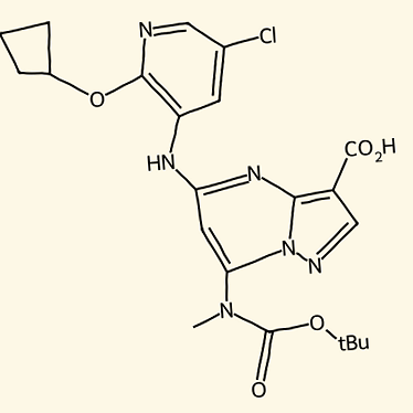 CN(C(=O)OC(C)(C)C)c1cc(Nc2cc(Cl)cnc2OC2CCC2)nc2c(C(=O)O)cnn12